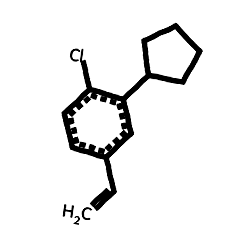 C=Cc1ccc(Cl)c(C2CCCC2)c1